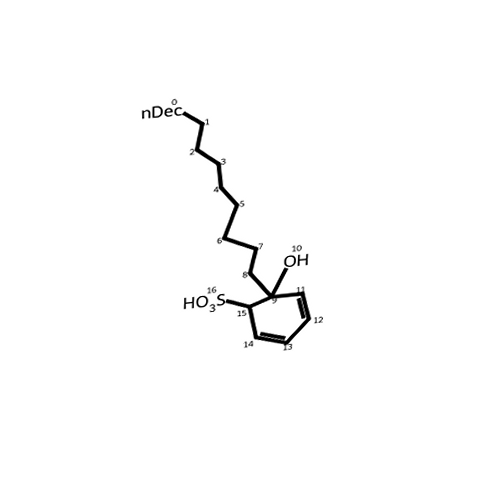 CCCCCCCCCCCCCCCCCCC1(O)C=CC=CC1S(=O)(=O)O